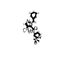 CP(C)(=O)c1cc(NC(=O)c2c(C(F)(F)F)cnn2CC2CCCCC2)ccn1